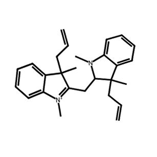 C=CCC1(C)C(CC2N(C)c3ccccc3C2(C)CC=C)=[N+](C)c2ccccc21